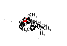 COC(=O)c1ccc(S(=O)(=O)N2C3CCC2CC(Cc2ccc(NC(=O)Nc4cc(C(C)(C)C)nn4-c4ccc(C)cc4)cc2)C3)n1C